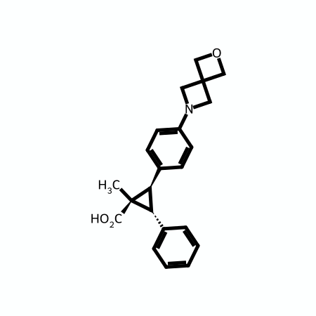 C[C@@]1(C(=O)O)[C@@H](c2ccccc2)[C@@H]1c1ccc(N2CC3(COC3)C2)cc1